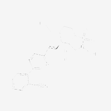 CC[C@@H]1CC[C@@H]2[C@H]([C@H]1C=Cc1ccc(-c3ccccc3C#N)cn1)[C@@H](C)N(C)S2(=O)=O